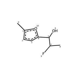 Cc1ccc(C(O)C(C)F)o1